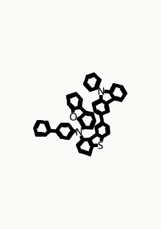 C1=CC2Sc3cccc(N(c4ccc(-c5ccccc5)cc4)c4cccc5c4oc4ccccc45)c3C2C=C1c1ccc2c(c1)c1ccccc1n2-c1ccccc1